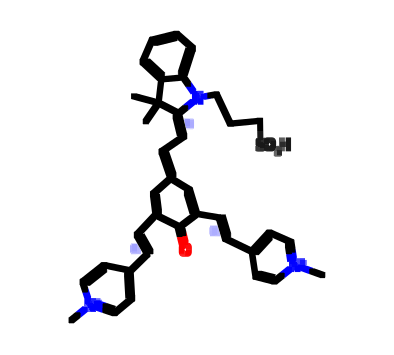 C[n+]1ccc(/C=C/C2=CC(=C/C=C3/N(CCCS(=O)(=O)O)c4ccccc4C3(C)C)C=C(/C=C/c3cc[n+](C)cc3)C2=O)cc1